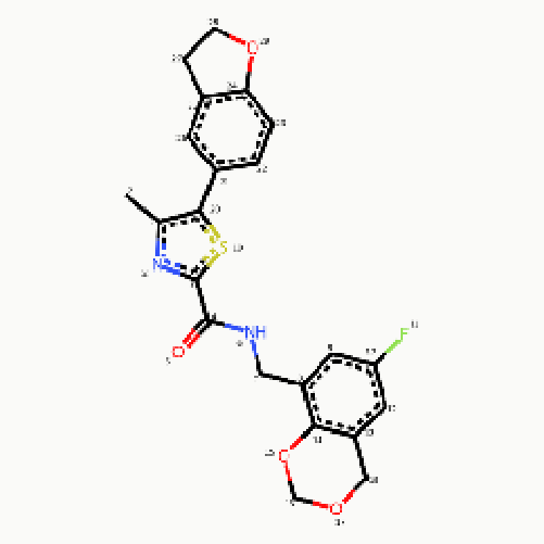 Cc1nc(C(=O)NCc2cc(F)cc3c2OCOC3)sc1-c1ccc2c(c1)CCO2